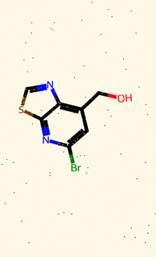 OCc1cc(Br)nc2scnc12